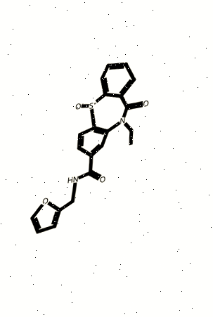 CCN1C(=O)c2ccccc2[S+]([O-])c2ccc(C(=O)NCc3ccco3)cc21